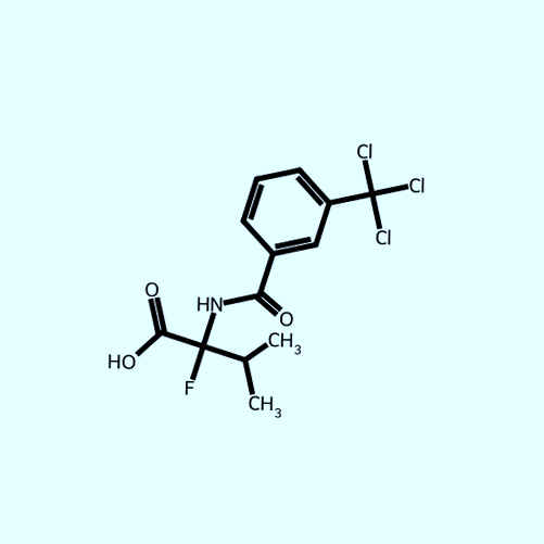 CC(C)C(F)(NC(=O)c1cccc(C(Cl)(Cl)Cl)c1)C(=O)O